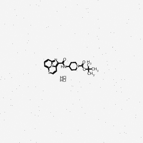 CC(C)(C)OC(=O)N1CCC(NC(=O)c2nc3cccc4n3c2C=CS4)CC1.Cl.Cl